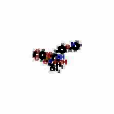 CC(C)CN(C[C@H](O)[C@H](Cc1ccc(OCc2ccccn2)cc1)NC(=O)O)S(=O)(=O)c1ccc2c(c1)OCCO2